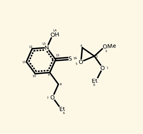 CCOC1(OC)CO1.CCOCc1cccn(O)c1=S